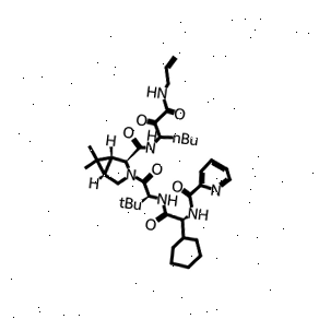 C=CCNC(=O)C(=O)C(CCCC)NC(=O)[C@@H]1[C@@H]2[C@H](CN1C(=O)[C@@H](NC(=O)[C@@H](NC(=O)c1ccccn1)C1CCCCC1)C(C)(C)C)C2(C)C